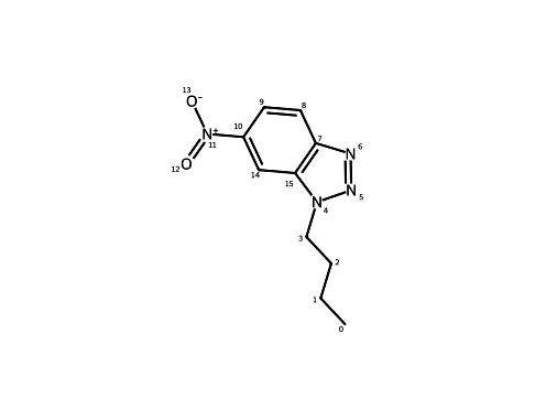 CCCCn1nnc2ccc([N+](=O)[O-])cc21